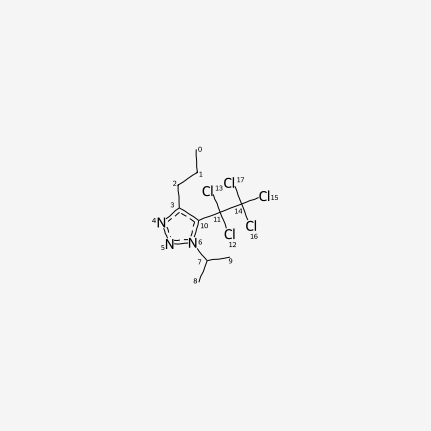 CCCc1nnn(C(C)C)c1C(Cl)(Cl)C(Cl)(Cl)Cl